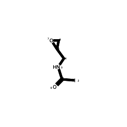 O=C(I)NCC1CO1